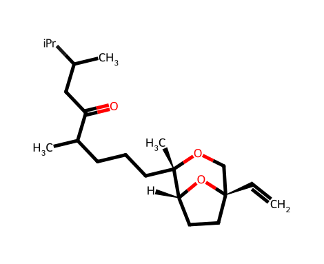 C=C[C@@]12CC[C@@H](O1)[C@](C)(CCCC(C)C(=O)CC(C)C(C)C)OC2